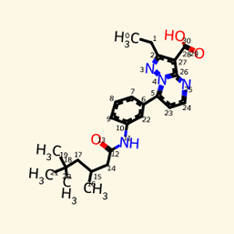 CCc1nn2c(-c3cccc(NC(=O)CC(C)CC(C)(C)C)c3)ccnc2c1C(=O)O